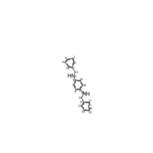 c1ccc(CNc2ccc(NCc3ccccc3)cc2)cc1